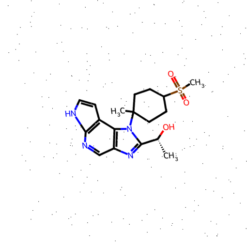 C[C@@H](O)c1nc2cnc3[nH]ccc3c2n1C1(C)CCC(S(C)(=O)=O)CC1